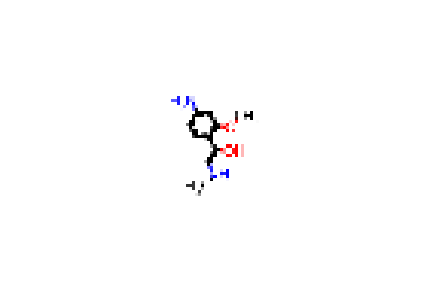 CN/C=C(\O)c1ccc(N)cc1OC